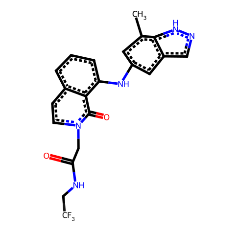 Cc1cc(Nc2cccc3ccn(CC(=O)NCC(F)(F)F)c(=O)c23)cc2cn[nH]c12